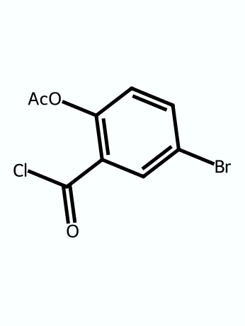 CC(=O)Oc1ccc(Br)cc1C(=O)Cl